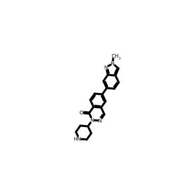 Cn1cc2ccc(-c3ccc4c(=O)n(C5CCNCC5)ncc4c3)cc2n1